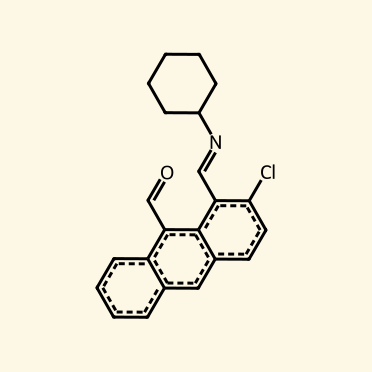 O=Cc1c2ccccc2cc2ccc(Cl)c(C=NC3CCCCC3)c12